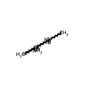 CCCCCCCCNC(=O)CCCCCCCC(=O)OC(N)CCCCCCC